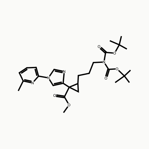 COC(=O)C1(c2cn(-c3cccc(C)n3)cn2)CC1CCCN(C(=O)OC(C)(C)C)C(=O)OC(C)(C)C